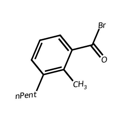 CCCCCc1cccc(C(=O)Br)c1C